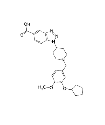 COc1ccc(CN2CCC(n3nnc4cc(C(=O)O)ccc43)CC2)cc1OC1CCCC1